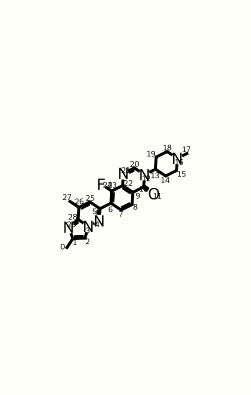 Cc1cn2nc(-c3ccc4c(=O)n(C5CCN(C)CC5)cnc4c3F)cc(C)c2n1